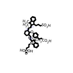 CC1(C)C(/C=C/C2=C(Oc3ccc(CCC(=O)O)cc3)C(=C\C=C3\C(CCCS(=O)(=O)O)c4ccccc4C3(C)C)/CCC2)=[N+](CCCP(=O)(O)O)c2ccccc21